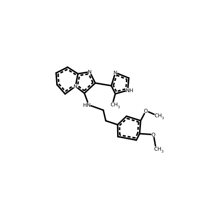 COc1ccc(CCNc2c(-c3nc[nH]c3C)nc3ccccn23)cc1OC